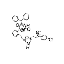 COC(=O)N[C@H](C(=O)Nc1ccccc1CC[C@@H]1CNC[C@@H](CC[S+]([O-])c2ccc(Cl)cc2)O1)C(c1ccccc1)c1ccccc1